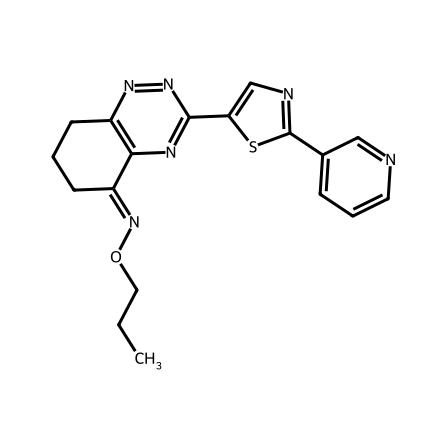 CCCO/N=C1\CCCc2nnc(-c3cnc(-c4cccnc4)s3)nc21